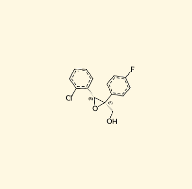 OC[C@]1(c2ccc(F)cc2)O[C@@H]1c1ccccc1Cl